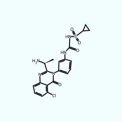 C[C@H](N)c1nc2cccc(Cl)c2c(=O)n1-c1cccc(NC(=O)NS(=O)(=O)C2CC2)c1